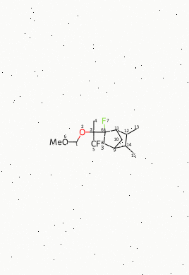 COCOC(C)(C(F)(F)F)C1(F)CC2CC1C(C)C2C